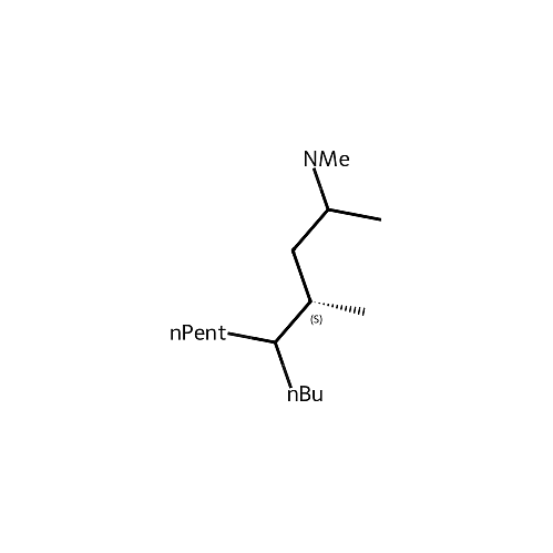 CCCCCC(CCCC)[C@@H](C)CC(C)NC